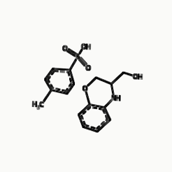 Cc1ccc(S(=O)(=O)O)cc1.OCC1COc2ccccc2N1